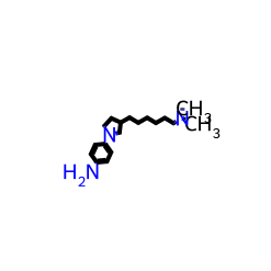 CN(C)CCCCCCC1CCN(c2ccc(N)cc2)C1